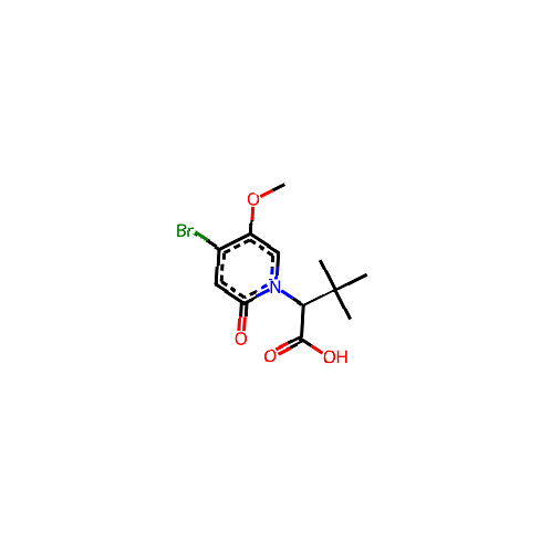 COc1cn(C(C(=O)O)C(C)(C)C)c(=O)cc1Br